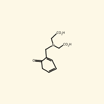 O=C(O)CN(CC(=O)O)CC1=CC=CCC1=O